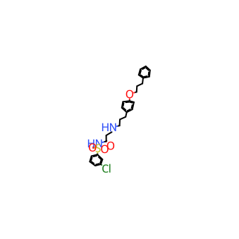 O=C(CCNCCCc1ccc(OCCCc2ccccc2)cc1)NS(=O)(=O)c1cccc(Cl)c1